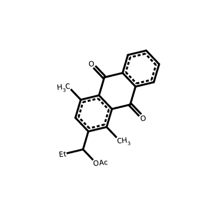 CCC(OC(C)=O)c1cc(C)c2c(c1C)C(=O)c1ccccc1C2=O